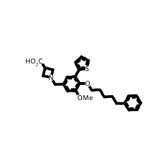 COc1cc(CN2CC(C(=O)O)C2)cc(-c2cccs2)c1OCCCCCc1ccccc1